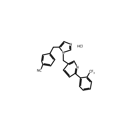 Cl.N#Cc1ccc(Cc2cncn2Cc2ccc(-c3ccccc3C(F)(F)F)nc2)cc1